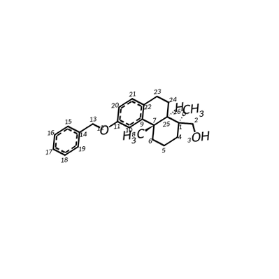 C[C@]1(CO)CCC[C@]2(C)c3cc(OCc4ccccc4)ccc3CC[C@@H]12